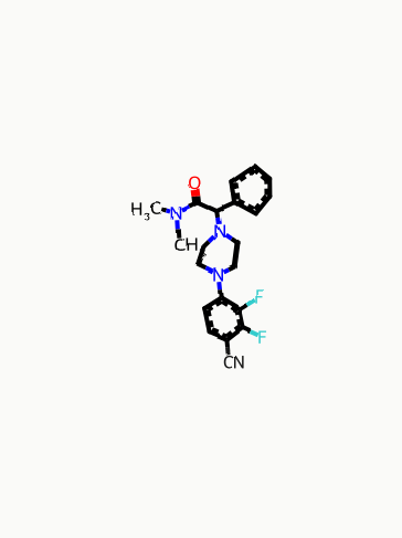 CN(C)C(=O)C(c1ccccc1)N1CCN(c2ccc(C#N)c(F)c2F)CC1